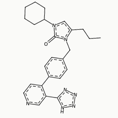 CCCc1cn(C2CCCCC2)c(=O)n1Cc1ccc(-c2ccncc2-c2nnn[nH]2)cc1